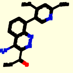 CNC(=O)c1nnc2c(-c3cnc(OC)cc3OC)cccc2c1N